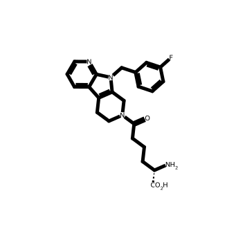 N[C@@H](CCCC(=O)N1CCc2c(n(Cc3cccc(F)c3)c3ncccc23)C1)C(=O)O